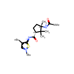 CCCCc1cn(C(C)(C)C)s/c1=N\C(=O)[C@@H]1CC[C@](C)(NC(=O)NC)C1(C)C